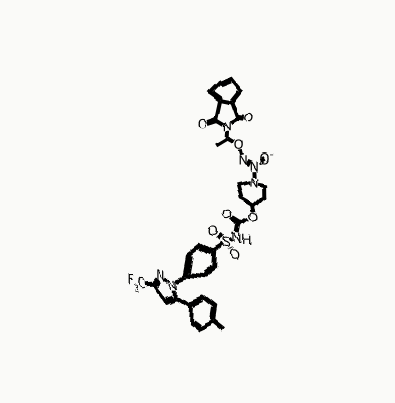 Cc1ccc(-c2cc(C(F)(F)F)nn2-c2ccc(S(=O)(=O)NC(=O)OC3CCN([N+]([O-])=NOC(C)N4C(=O)c5ccccc5C4=O)CC3)cc2)cc1